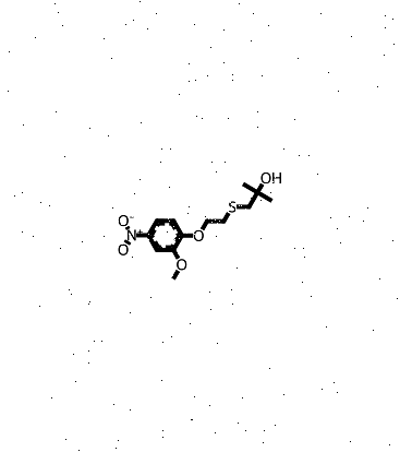 COc1cc([N+](=O)[O-])ccc1OCCSCC(C)(C)O